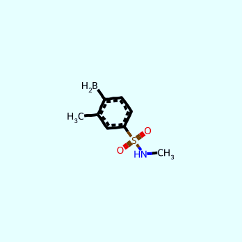 Bc1ccc(S(=O)(=O)NC)cc1C